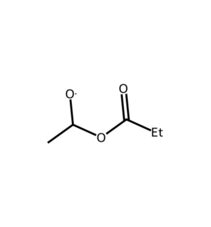 CCC(=O)OC(C)[O]